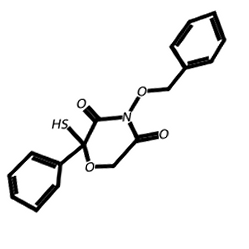 O=C1COC(S)(c2ccccc2)C(=O)N1OCc1ccccc1